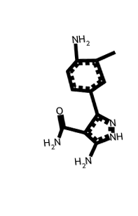 Cc1cc(-c2n[nH]c(N)c2C(N)=O)ccc1N